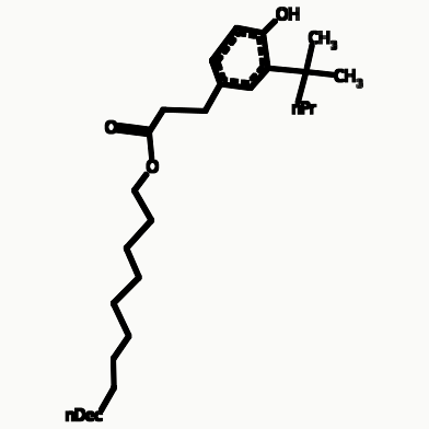 CCCCCCCCCCCCCCCCCCOC(=O)CCc1ccc(O)c(C(C)(C)CCC)c1